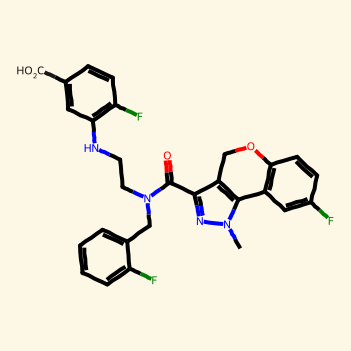 Cn1nc(C(=O)N(CCNc2cc(C(=O)O)ccc2F)Cc2ccccc2F)c2c1-c1cc(F)ccc1OC2